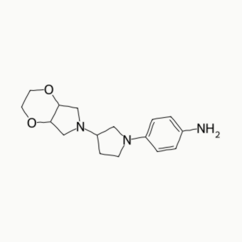 Nc1ccc(N2CCC(N3CC4OCCOC4C3)C2)cc1